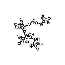 CN1CCN(c2cc(C(=O)C=Cc3ccc(C(=O)OC(=O)c4ccc(C=CC(OC(=O)c5ccc(C#CC(OC(=O)c6ccc(C=CC(O)c7cc(N8CCN(C)CC8)c(OCc8ccccc8)c(C(C)(C)C)c7)cc6O)c6cc(N7CCN(C)CC7)c(OCc7ccccc7)c(C(C)(C)C)c6)cc5)c5cc(N6CCN(C)CC6)c(OCc6ccccc6)c(C(C)(C)C)c5)cc4)cc3)cc(C(C)(C)C)c2OCc2ccccc2)CC1